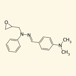 CN(C)c1ccc(C=NN(CC2CO2)c2ccccc2)cc1